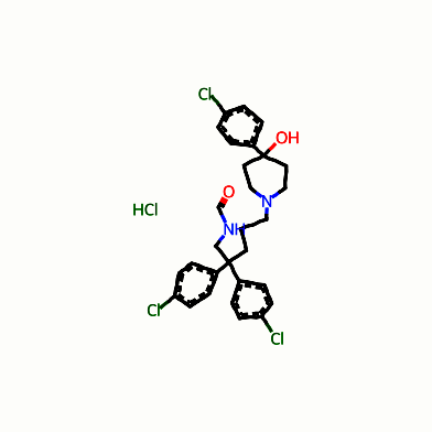 Cl.O=CNCC(CCCN1CCC(O)(c2ccc(Cl)cc2)CC1)(c1ccc(Cl)cc1)c1ccc(Cl)cc1